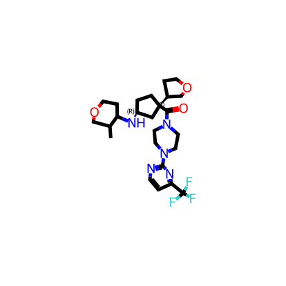 CC1COCCC1N[C@@H]1CC[C@@](C(=O)N2CCN(c3nccc(C(F)(F)F)n3)CC2)(C2CCOC2)C1